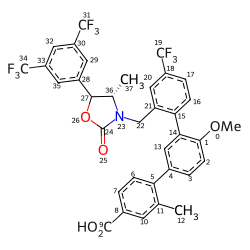 COc1ccc(-c2ccc(C(=O)O)cc2C)cc1-c1ccc(C(F)(F)F)cc1CN1C(=O)OC(c2cc(C(F)(F)F)cc(C(F)(F)F)c2)[C@@H]1C